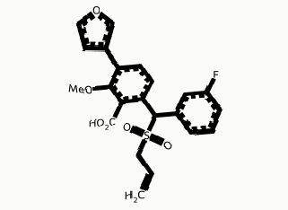 C=CCS(=O)(=O)C(c1cccc(F)c1)c1ccc(-c2ccoc2)c(OC)c1C(=O)O